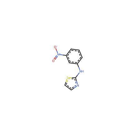 O=[N+]([O-])c1cccc(Nc2nccs2)c1